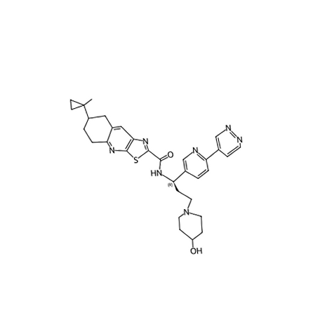 CC1(C2CCc3nc4sc(C(=O)N[C@H](CCN5CCC(O)CC5)c5ccc(-c6ccnnc6)nc5)nc4cc3C2)CC1